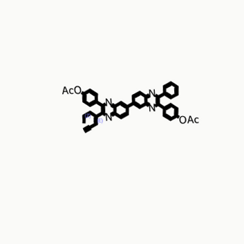 C#C/C=C(\C=C/C)c1nc2ccc(-c3ccc4nc(-c5ccccc5)c(-c5ccc(OC(C)=O)cc5)nc4c3)cc2nc1-c1ccc(OC(C)=O)cc1